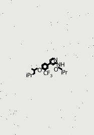 CC(C)CC(=O)Nc1cc(-c2ccc(OCC(C)CC(C)C)c(C(F)(F)F)c2)ccn1